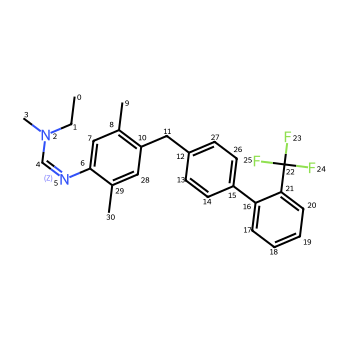 CCN(C)/C=N\c1cc(C)c(Cc2ccc(-c3ccccc3C(F)(F)F)cc2)cc1C